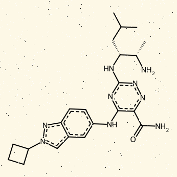 CC(C)C[C@@H](Nc1nnc(C(N)=O)c(Nc2ccc3nn(C4CCC4)cc3c2)n1)[C@H](C)N